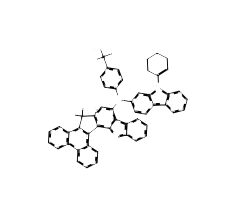 CC(C)(C)c1ccc(N(c2ccc3c4ccccc4n(C4=CCCCC4)c3c2)c2cc3c(c4oc5ccccc5c24)-c2c(c4ccccc4c4ccccc24)C3(C)C)cc1